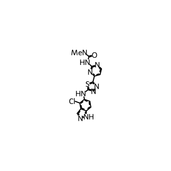 CNC(=O)Nc1nccc(-c2nnc(Nc3ccc4[nH]ncc4c3Cl)s2)n1